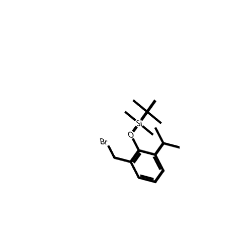 CC(C)c1cccc(CBr)c1O[Si](C)(C)C(C)(C)C